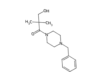 CC(C)(CO)C(=O)N1CCN(Cc2ccccc2)CC1